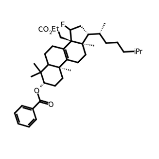 CCOC(=O)C[C@]12C3=C(CC[C@]1(C)[C@@H]([C@H](C)CCCC(C)C)CC2F)[C@@]1(C)CC[C@H](OC(=O)c2ccccc2)C(C)(C)C1CC3